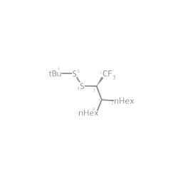 CCCCCCC(CCCCCC)[C@@H](SSC(C)(C)C)C(F)(F)F